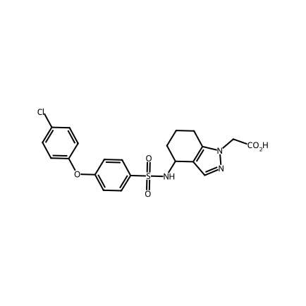 O=C(O)Cn1ncc2c1CCCC2NS(=O)(=O)c1ccc(Oc2ccc(Cl)cc2)cc1